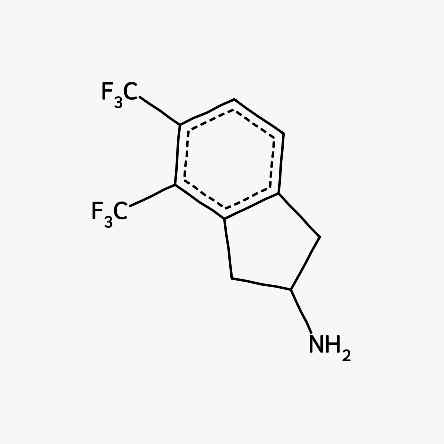 NC1Cc2ccc(C(F)(F)F)c(C(F)(F)F)c2C1